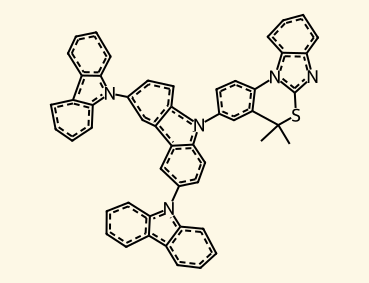 CC1(C)Sc2nc3ccccc3n2-c2ccc(-n3c4ccc(-n5c6ccccc6c6ccccc65)cc4c4cc(-n5c6ccccc6c6ccccc65)ccc43)cc21